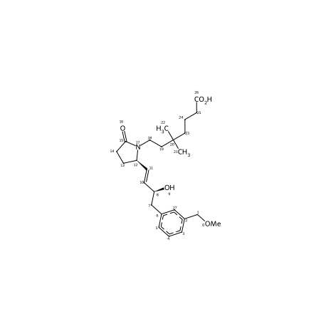 COCc1cccc(C[C@H](O)/C=C/[C@H]2CCC(=O)N2CCC(C)(C)CCCC(=O)O)c1